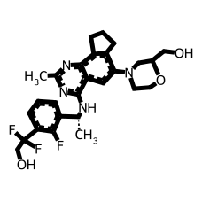 Cc1nc(N[C@H](C)c2cccc(C(F)(F)CO)c2F)c2cc(N3CCOC(CO)C3)c3c(c2n1)CCC3